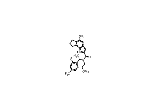 COCCN(C(=O)c1cc2nc(N)c3c(c2[nH]1)COC3)[C@@H](C)c1ncc(C(F)(F)F)cc1F